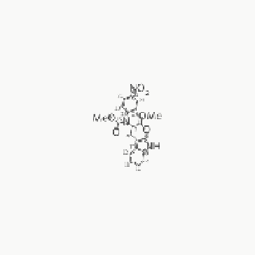 COC(=O)C(Cc1c[nH]c2ccccc12)N(C(=O)OC)c1ccc([N+](=O)[O-])cc1